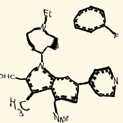 CCN1CCC(n2c(C=O)c(C)c3c(NC)cc(-c4ccncc4)cc32)CC1.Fc1ccccc1